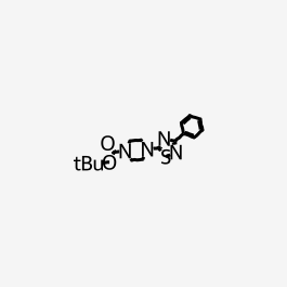 CC(C)(C)OC(=O)N1CCN(c2nc(-c3ccccc3)ns2)CC1